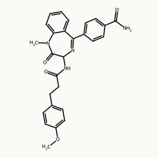 COc1ccc(CCC(=O)NC2N=C(c3ccc(C(N)=O)cc3)c3ccccc3N(C)C2=O)cc1